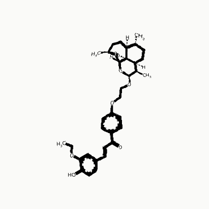 CCOc1cc(/C=C/C(=O)c2ccc(OCCO[C@H]3O[C@@H]4O[C@@]5(C)CC[C@H]6[C@H](C)CC[C@@H]([C@H]3C)[C@@]46OO5)cc2)ccc1O